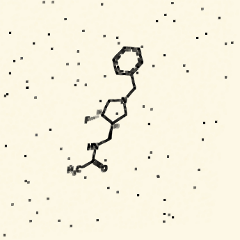 CC(=O)NC[C@@H]1CN(Cc2ccccc2)C[C@H]1F